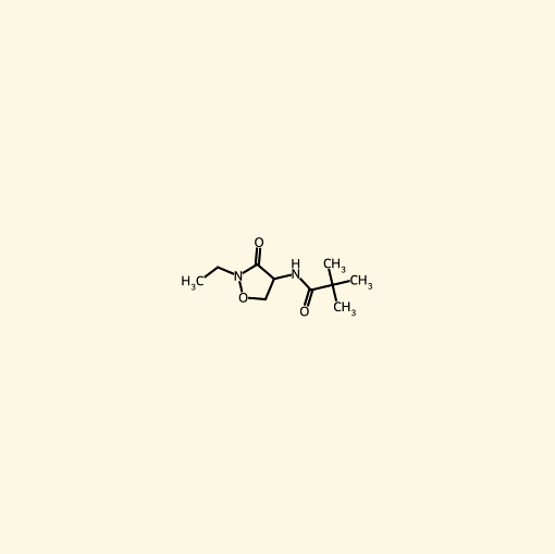 CCN1OCC(NC(=O)C(C)(C)C)C1=O